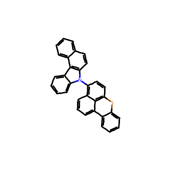 c1ccc2c(c1)Sc1ccc(-n3c4ccccc4c4c5ccccc5ccc43)c3cccc-2c13